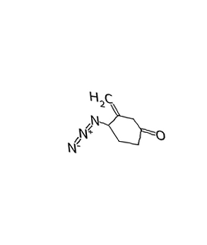 C=C1CC(=O)CCC1N=[N+]=[N-]